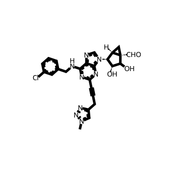 Cn1cc(CC#Cc2nc(NCc3cccc(Cl)c3)c3ncn([C@@H]4[C@H]5C[C@@]5(C=O)C(O)[C@@H]4O)c3n2)nn1